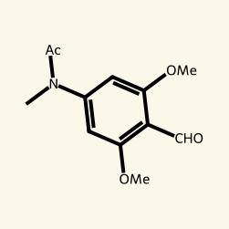 COc1cc(N(C)C(C)=O)cc(OC)c1C=O